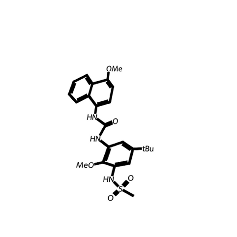 COc1c(NC(=O)Nc2ccc(OC)c3ccccc23)cc(C(C)(C)C)cc1NS(C)(=O)=O